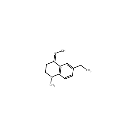 CCc1ccc2c(c1)/C(=N\O)CCN2C